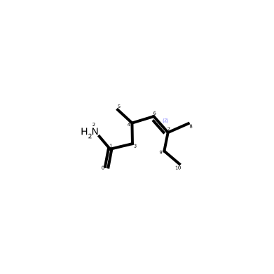 C=C(N)CC(C)/C=C(/C)CC